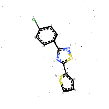 Clc1ccc(-c2nsc(-c3cccs3)n2)cc1